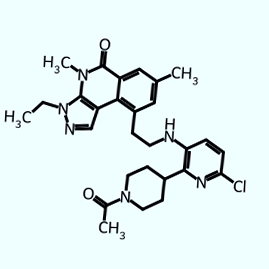 CCn1ncc2c3c(CCNc4ccc(Cl)nc4C4CCN(C(C)=O)CC4)cc(C)cc3c(=O)n(C)c21